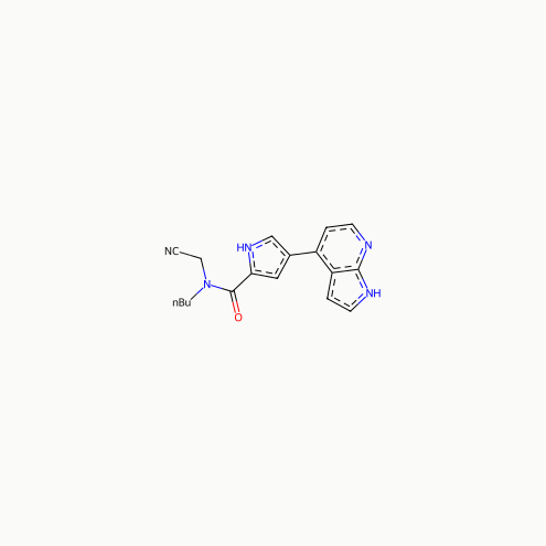 CCCCN(CC#N)C(=O)c1cc(-c2ccnc3[nH]ccc23)c[nH]1